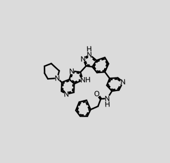 O=C(Cc1ccccc1)Nc1cncc(-c2ccc3[nH]nc(-c4nc5c(N6CCCCC6)cncc5[nH]4)c3c2)c1